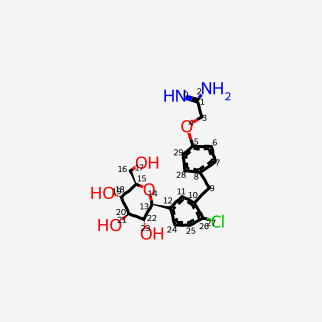 N=C(N)COc1ccc(Cc2cc([C@@H]3O[C@H](CO)[C@@H](O)[C@H](O)[C@H]3O)ccc2Cl)cc1